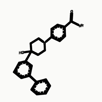 CCCC(=O)c1ccc(N2CCC(O)(c3cccc(-c4ccccc4)c3)CC2)cc1